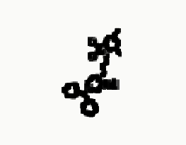 Cc1cc(C)c2c(c1)C(=O)C(=O)N2CCCN1CCN(C(c2ccccc2)c2ccccc2)CC1.Cl.Cl